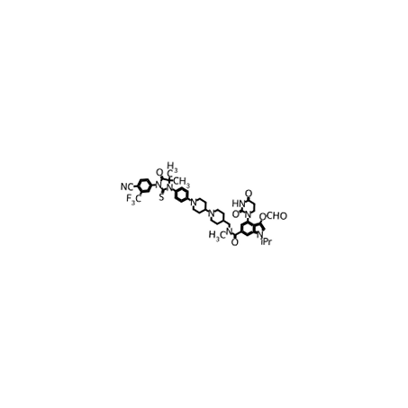 CC(C)n1cc(OC=O)c2c(N3CCC(=O)NC3=O)cc(C(=O)N(C)CC3CCN(C4CCN(c5ccc(N6C(=S)N(c7ccc(C#N)c(C(F)(F)F)c7)C(=O)C6(C)C)cc5)CC4)CC3)cc21